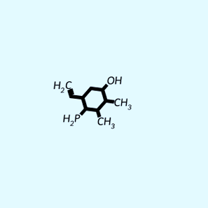 C=CC1CC(O)C(C)C(C)C1P